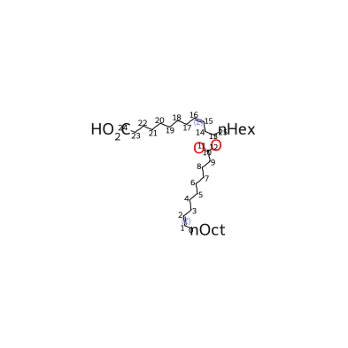 CCCCCCCC/C=C\CCCCCCCC(=O)OC(C/C=C\CCCCCCCC(=O)O)CCCCCC